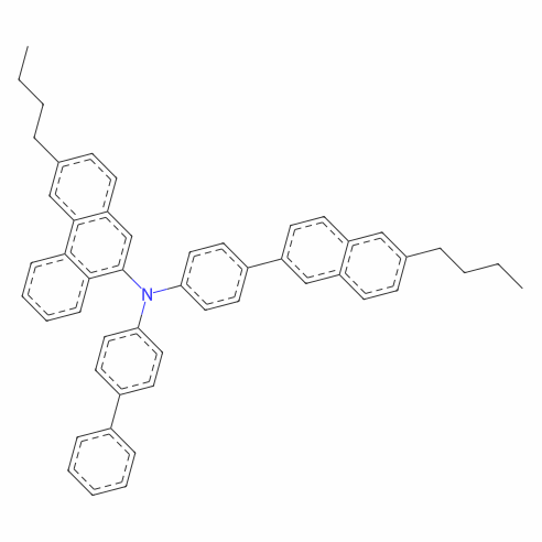 CCCCc1ccc2cc(-c3ccc(N(c4ccc(-c5ccccc5)cc4)c4cc5ccc(CCCC)cc5c5ccccc45)cc3)ccc2c1